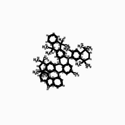 Cc1cc2c3c(c1)N(c1cccc4oc5ccccc5c14)c1cc4c(cc1B3c1cc3c(cc1N2c1cc2c(cc1C)C(C)(C)CCC2(C)C)C(C)(C)c1ccccc1C3(C)C)C(C)(C)CC4(C)C